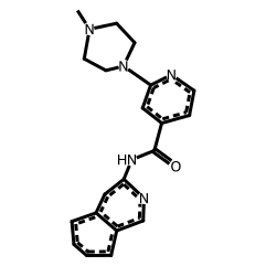 CN1CCN(c2cc(C(=O)Nc3cc4ccccc4cn3)ccn2)CC1